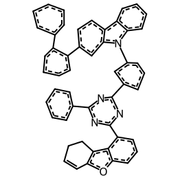 C1=Cc2oc3cccc(-c4nc(-c5ccccc5)nc(-c5cccc(-n6c7ccccc7c7ccc(-c8ccccc8-c8ccccc8)cc76)c5)n4)c3c2CC1